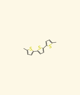 Cc1ccc(-c2ccc(-c3ccc(C)s3)s2)s1